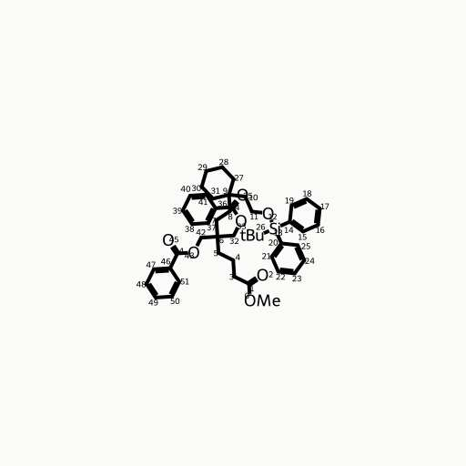 COC(=O)CCCC(CCC1(CCO[Si](c2ccccc2)(c2ccccc2)C(C)(C)C)CCCCC1)(COC(=O)c1ccccc1)COC(=O)c1ccccc1